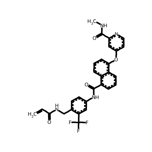 C=CC(=O)NCc1ccc(NC(=O)c2cccc3c(Oc4ccnc(C(=O)NC)c4)cccc23)cc1C(F)(F)F